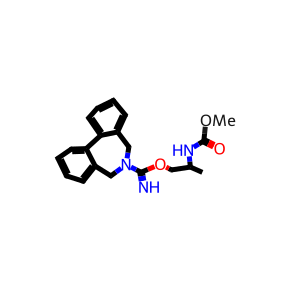 COC(=O)NC(C)COC(=N)N1Cc2ccccc2-c2ccccc2C1